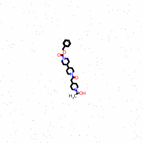 CB(O)N1CCC(CC(=O)N2CCC(C3CCN(C(=O)OCc4ccccc4)CC3)CC2)CC1